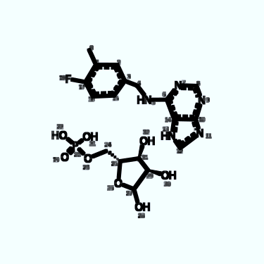 Cc1cc(CNc2ncnc3nc[nH]c23)ccc1F.O=P(O)(O)OC[C@H]1OC(O)[C@H](O)[C@@H]1O